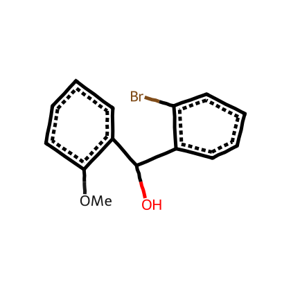 COc1ccccc1C(O)c1ccccc1Br